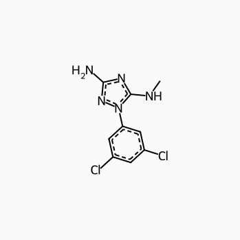 CNc1nc(N)nn1-c1cc(Cl)cc(Cl)c1